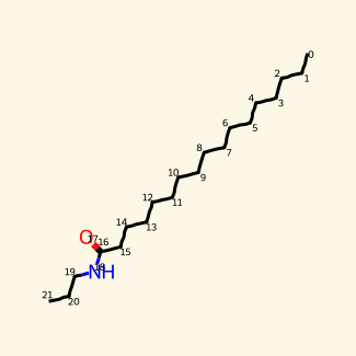 CCCCCCCCCCCCCCCCC(=O)NCCC